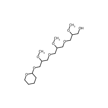 COC(CO)COCC(COCC(COC1CCCCO1)OC)OC